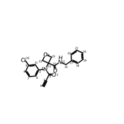 C#CC(=O)N(c1cccc(Cl)c1)C1(C(=O)NCc2ccccc2)COC1